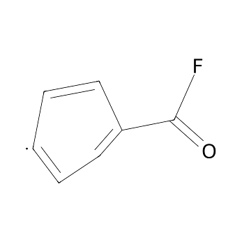 O=C(F)c1cc[c]cc1